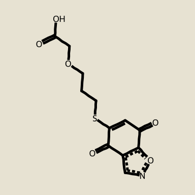 O=C(O)COCCCSC1=CC(=O)c2oncc2C1=O